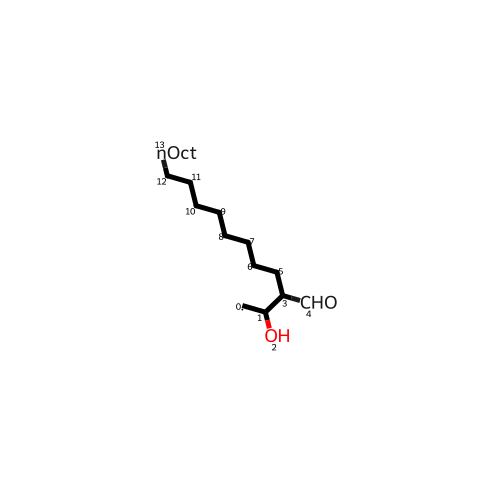 [CH2]C(O)C(C=O)CCCCCCCCCCCCCCCC